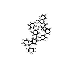 CC1(C)c2ccccc2-c2cc3c(cc21)oc1c(-c2cccc(N(c4ccc(-c5ccccc5)cc4)c4ccc5c(c4)c4ccccc4n5-c4ccccc4)c2)cccc13